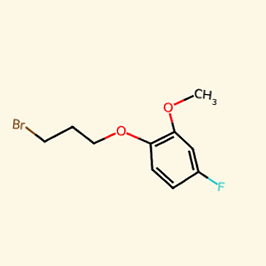 COc1cc(F)ccc1OCCCBr